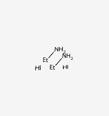 CCN.CCN.I.I